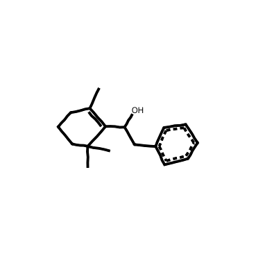 CC1=C(C(O)Cc2ccccc2)C(C)(C)CCC1